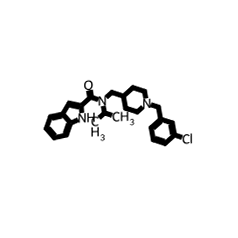 CC(C)N(CC1CCN(Cc2cccc(Cl)c2)CC1)C(=O)c1cc2ccccc2[nH]1